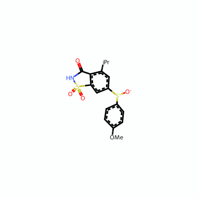 COc1ccc([S+]([O-])c2cc(C(C)C)c3c(c2)S(=O)(=O)NC3=O)cc1